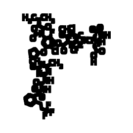 CC(C)=C1OC(=O)N(c2cc(OC3CCCC3)c(Cl)cc2F)C1=O.COc1c(Cl)ccc(Cl)c1C(=O)O.COc1nc(C)nc(NC(=O)NS(=O)(=O)c2ccccc2CCC(F)(F)F)n1.C[S+](C)C.O=C(O)CNCP(=O)([O-])O